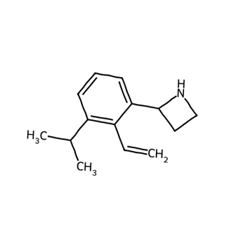 C=Cc1c(C(C)C)cccc1C1CCN1